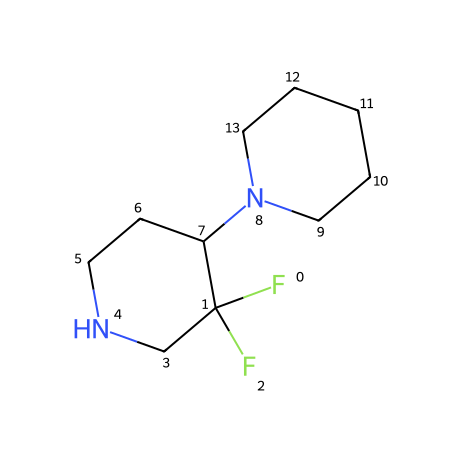 FC1(F)CNCCC1N1CCCCC1